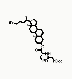 CCCCCCCCCCCC(=O)N[C@@H](CC(C)C)C(=O)OC1CC[C@@]2(C)C(=CCC3C2CC[C@@]2(C)C3CC[C@@H]2[C@H](C)CCCC(C)C)C1